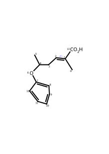 C/C(=C\CC(C)Oc1ccccc1)C(=O)O